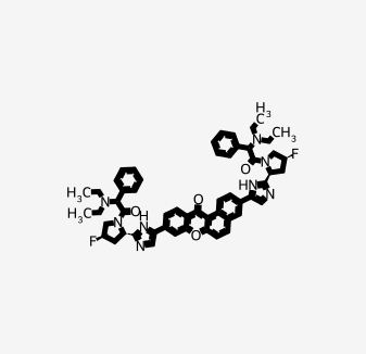 CCN(CC)C(C(=O)N1C[C@H](F)C[C@H]1c1ncc(-c2ccc3c(ccc4oc5cc(-c6cnc([C@@H]7C[C@@H](F)CN7C(=O)C(c7ccccc7)N(CC)CC)[nH]6)ccc5c(=O)c43)c2)[nH]1)c1ccccc1